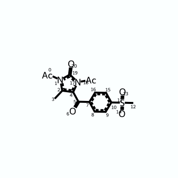 CC(=O)n1c(C)c(C(=O)c2ccc(S(C)(=O)=O)cc2)n(C(C)=O)c1=O